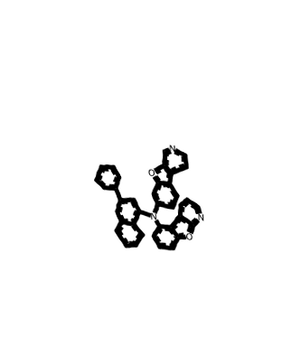 c1ccc(-c2cc(N(c3ccc4c(c3)oc3cnccc34)c3cccc4oc5ncccc5c34)c3ccccc3c2)cc1